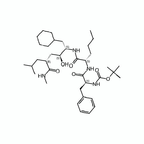 CCCC[C@H](NC(=O)[C@H](Cc1ccccc1)NC(=O)OC(C)(C)C)C(=O)N[C@@H](CC1CCCCC1)[C@@H](O)C[C@@H](CC(C)C)C(=O)NC